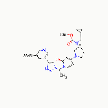 CNc1cncc(-c2cn(C(C)n3ccc(N4CCC[C@@H](N(CC5CC5)C(=O)OC(C)(C)C)C4)cc3=O)nn2)c1